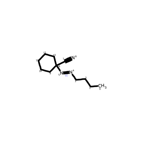 CCCC/N=N/C1(C#N)CCCCC1